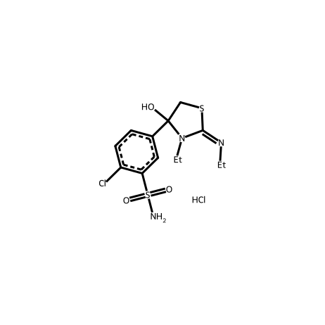 CCN=C1SCC(O)(c2ccc(Cl)c(S(N)(=O)=O)c2)N1CC.Cl